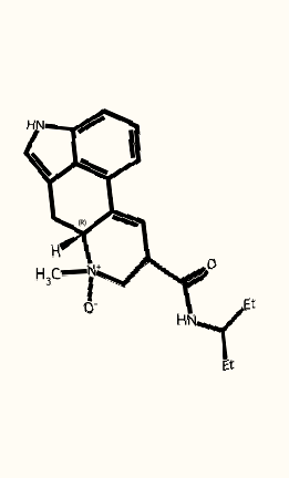 CCC(CC)NC(=O)C1C=C2c3cccc4[nH]cc(c34)C[C@H]2[N+](C)([O-])C1